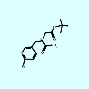 CC(C)(C)OC(=O)C[C@H](Cc1ccc(Br)nc1)C(N)=O